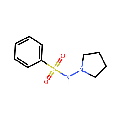 O=S(=O)(NN1CCCC1)c1ccccc1